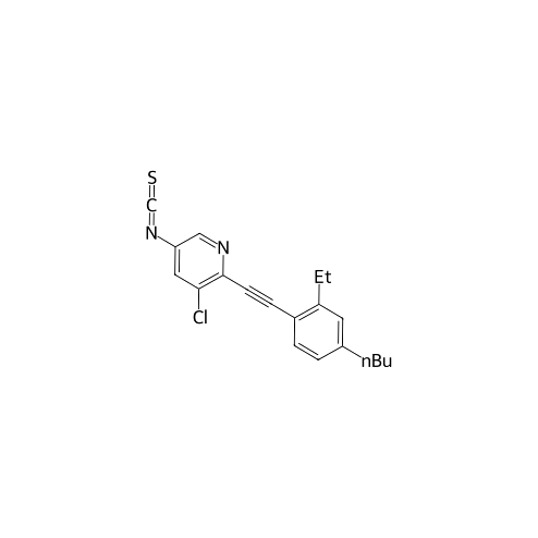 CCCCc1ccc(C#Cc2ncc(N=C=S)cc2Cl)c(CC)c1